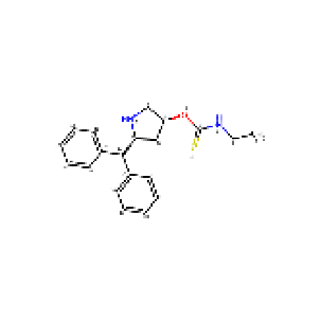 CCNC(=S)O[C@@H]1CN[C@H](C(c2ccccc2)c2ccccc2)C1